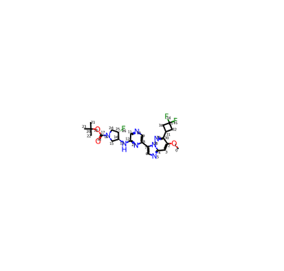 COc1cc2ncc(-c3cncc(N[C@H]4CN(C(=O)OC(C)(C)C)C[C@@H]4F)n3)n2nc1C1CC(F)(F)C1